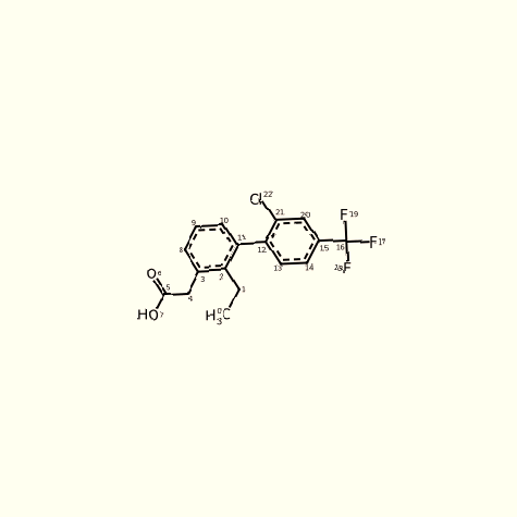 CCc1c(CC(=O)O)cccc1-c1ccc(C(F)(F)F)cc1Cl